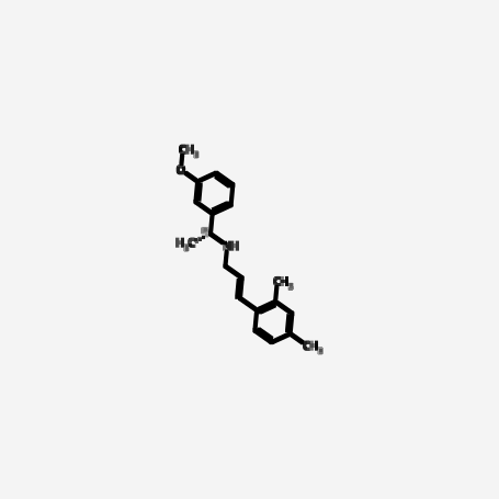 COc1cccc([C@@H](C)NCC=Cc2ccc(C)cc2C)c1